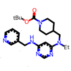 CCN(CC1CCN(C(=O)OC(C)(C)C)CC1)c1cc(NCc2cccnc2)ncn1